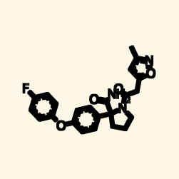 Cc1cc(CC(=O)N2CCCC2(C(N)=O)c2ccc(Oc3ccc(F)cc3)cc2)on1